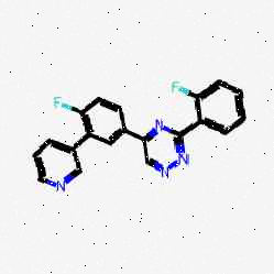 Fc1ccc(-c2cnnc(-c3ccccc3F)n2)cc1-c1cccnc1